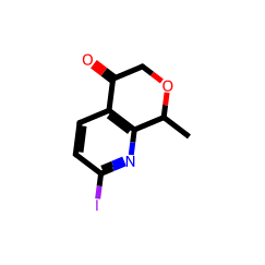 CC1OCC(=O)c2ccc(I)nc21